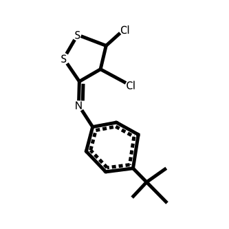 CC(C)(C)c1ccc(N=C2SSC(Cl)C2Cl)cc1